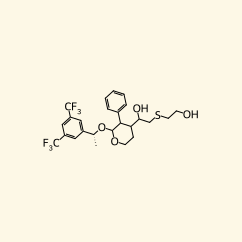 C[C@@H](OC1OCCC(C(O)CSCCO)C1c1ccccc1)c1cc(C(F)(F)F)cc(C(F)(F)F)c1